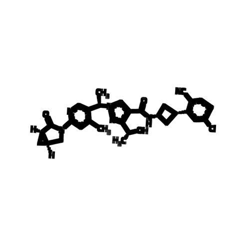 Cc1cc(N2C[C@H]3C[C@H]3C2=O)ncc1[C@@H](C)n1cc(C(=O)N[C@H]2C[C@@H](c3cc(Cl)ccc3C#N)C2)c([C@@H](C)O)n1